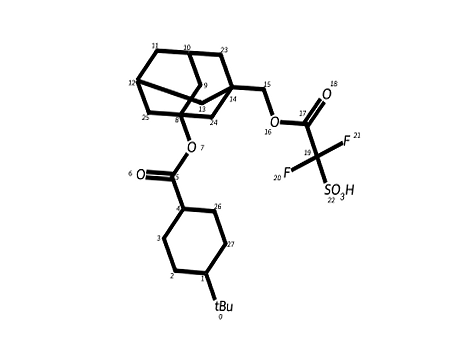 CC(C)(C)C1CCC(C(=O)OC23CC4CC(CC(COC(=O)C(F)(F)S(=O)(=O)O)(C4)C2)C3)CC1